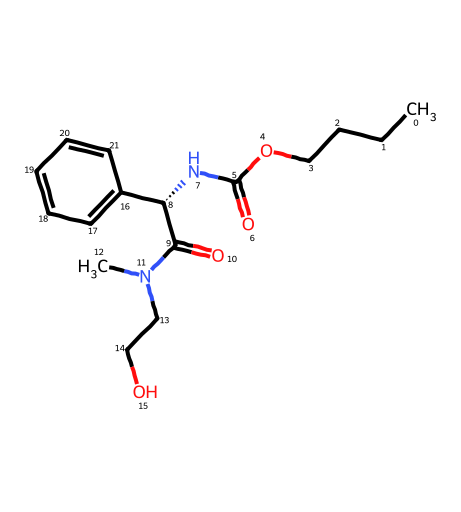 CCCCOC(=O)N[C@H](C(=O)N(C)CCO)c1ccccc1